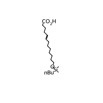 CCCC[Si](C)(C)OCCCCCCCC=CCCCC(=O)O